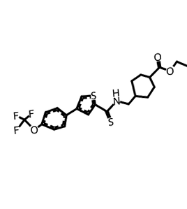 CCOC(=O)C1CCC(CNC(=S)c2cc(-c3ccc(OC(F)(F)F)cc3)cs2)CC1